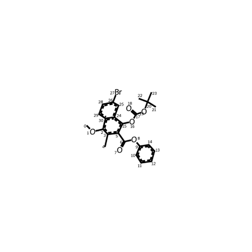 COc1c(C)c(C(=O)Oc2ccccc2)c(OC(=O)OC(C)(C)C)c2cc(Br)ccc12